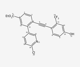 CCOC(=O)c1ccc(C#Cc2ccc(O)cc2C(F)(F)F)c(-c2ccc(Cl)nc2)c1